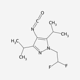 CC(C)c1nn(CC(F)F)c(C(C)C)c1N=C=O